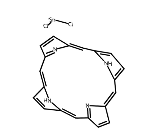 C1=Cc2cc3ccc(cc4nc(cc5ccc(cc1n2)[nH]5)C=C4)[nH]3.[Cl][Sn][Cl]